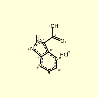 Cl.O=C(O)c1[nH]nc2nccnc12